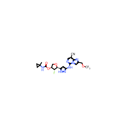 CC1(NC(=O)O[C@H]2CO[C@@H](c3cc(Nc4ncc(C#N)c5nc(COC(F)(F)F)cn45)n[nH]3)[C@@H]2F)CC1